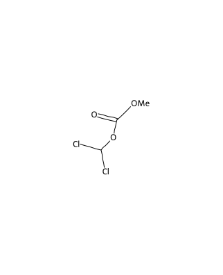 COC(=O)OC(Cl)Cl